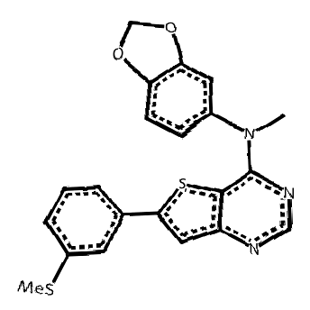 CSc1cccc(-c2cc3ncnc(N(C)c4ccc5c(c4)OCO5)c3s2)c1